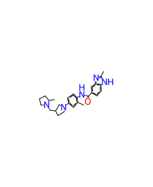 Cc1nc2cc(C(=O)Nc3ccc(N4CCC(CN5CCCC5C)C4)cc3C)ccc2[nH]1